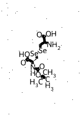 CC(C)(C)OC(=O)N[C@@H](C[Se][Se]CC(N)C(=O)O)C(=O)O